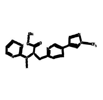 CN(c1ncccn1)N(Cc1ccc(-c2cnn(C(F)(F)F)c2)cn1)C(=O)OC(C)(C)C